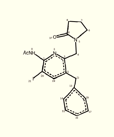 CC(=O)Nc1nc(CN2CCCC2=O)c(Cc2ccccc2)cc1I